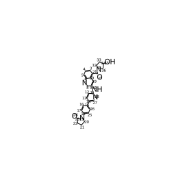 O=C(c1cccc2ncc(Nc3ccc(-c4ccc(N5CCCC5=O)cc4)cn3)cc12)N1CCC(O)C1